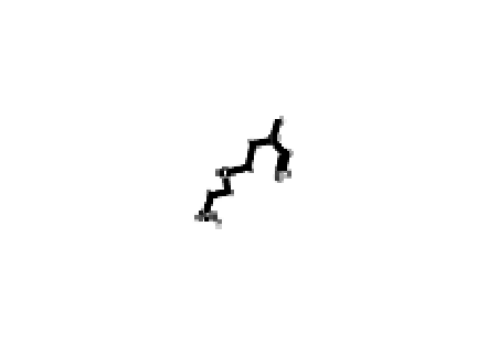 CN(C=O)CCOCCN